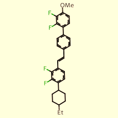 CCC1CCC(c2ccc(/C=C/c3ccc(-c4ccc(OC)c(F)c4F)cc3)c(F)c2F)CC1